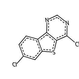 Clc1ccc2c(c1)sc1c(Cl)ncnc12